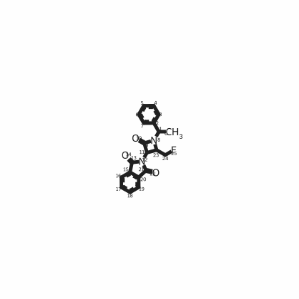 CC(c1ccccc1)N1C(=O)C(N2C(=O)c3ccccc3C2=O)C1CF